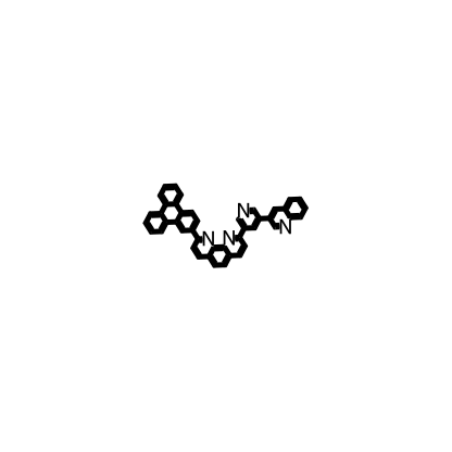 c1ccc2ncc(-c3cncc(-c4ccc5ccc6ccc(-c7ccc8c9ccccc9c9ccccc9c8c7)nc6c5n4)c3)cc2c1